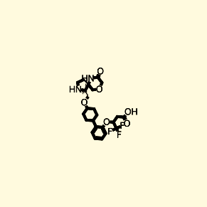 O=C(O)CC(Oc1ccccc1C1CCC(OC[C@@H]2NCC[C@@]23COCC(=O)N3)CC1)C(F)(F)F